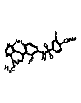 COc1ccc(S(=O)(=O)Nc2cccc(-c3cn(C)c4ncnc(N)c34)c2F)cc1F